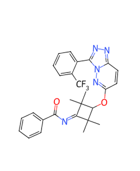 CC1(C)C(=NC(=O)c2ccccc2)C(C)(C)C1Oc1ccc2nnc(-c3ccccc3C(F)(F)F)n2n1